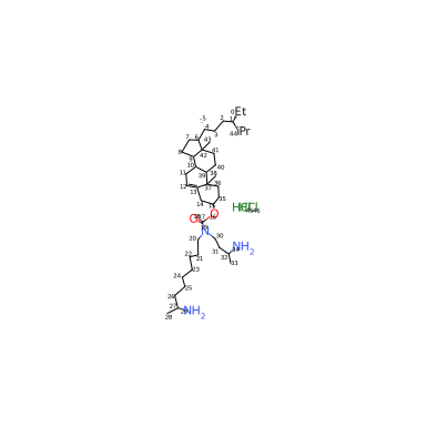 CC[C@H](CC[C@@H](C)C1CCC2C3CC=C4CC(OC(=O)N(CCCCCCCC(C)N)CCC(C)N)CCC4(C)C3CCC21C)C(C)C.Cl.Cl